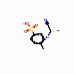 C[C@H](N)C#N.Cc1ccc(S(=O)(=O)O)cc1